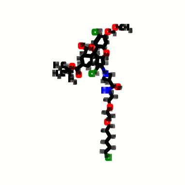 COCOc1cc2c(cc1Cl)C1(OC(=O)c3cc(C(=O)OC(C)(C)C)ccc31)c1cc(Cl)c(N3CC(C(=O)NCCOCCOCCCCCCCl)C3)cc1O2